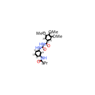 COc1cc(C(=O)NC(=O)Nc2cccc(NC(=O)C(C)C)c2)cc(OC)c1OC